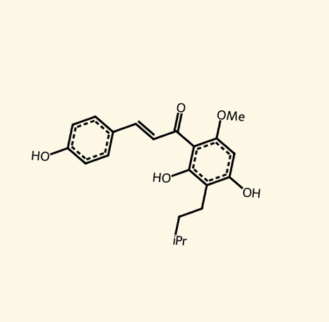 COc1cc(O)c(CCC(C)C)c(O)c1C(=O)/C=C/c1ccc(O)cc1